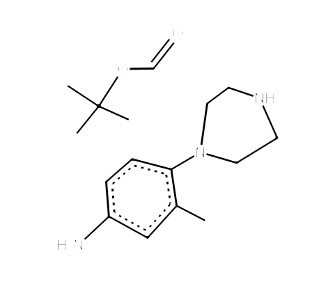 CC(C)(C)OC=O.Cc1cc(N)ccc1N1CCNCC1